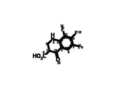 O=C(O)C1CNc2c(cc(F)c(F)c2F)C1=O